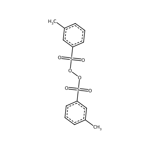 Cc1cccc(S(=O)(=O)OOS(=O)(=O)c2cccc(C)c2)c1